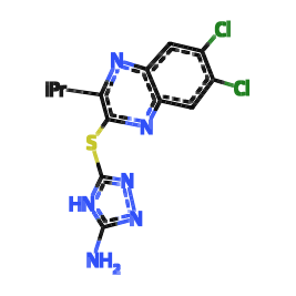 CC(C)c1nc2cc(Cl)c(Cl)cc2nc1Sc1nnc(N)[nH]1